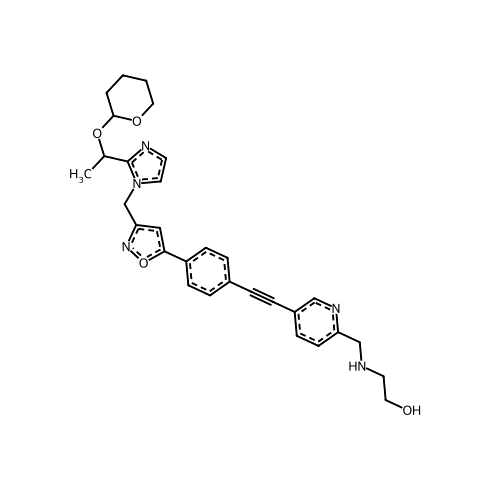 CC(OC1CCCCO1)c1nccn1Cc1cc(-c2ccc(C#Cc3ccc(CNCCO)nc3)cc2)on1